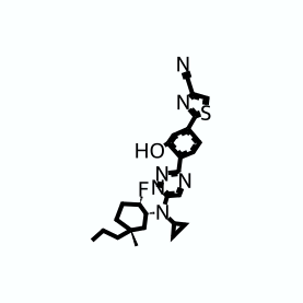 CCC[C@]1(C)CC[C@H](F)[C@H](N(c2cnc(-c3ccc(-c4nc(C#N)cs4)cc3O)nn2)C2CC2)C1